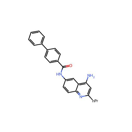 CCCc1cc(N)c2cc(NC(=O)c3ccc(-c4ccccc4)cc3)ccc2n1